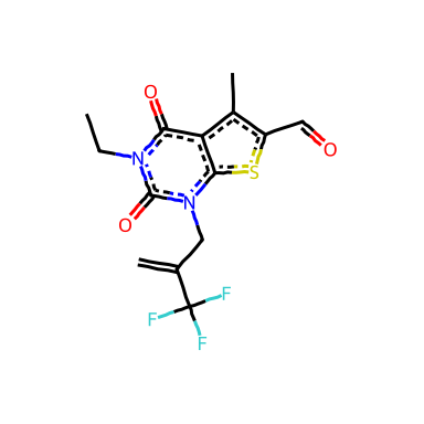 C=C(Cn1c(=O)n(CC)c(=O)c2c(C)c(C=O)sc21)C(F)(F)F